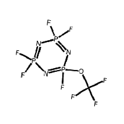 FC(F)(F)OP1(F)=NP(F)(F)=NP(F)(F)=N1